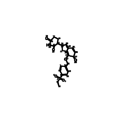 CCS(=O)(=O)c1ccc(COC2=C3CN(C4CCC(=O)NC4=O)C=C3C=CC2=O)cc1